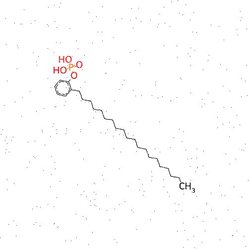 CCCCCCCCCCCCCCCCCCCCc1ccccc1OP(=O)(O)O